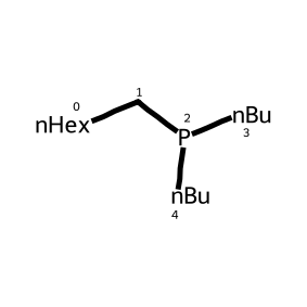 CCCCCCCP(CCCC)CCCC